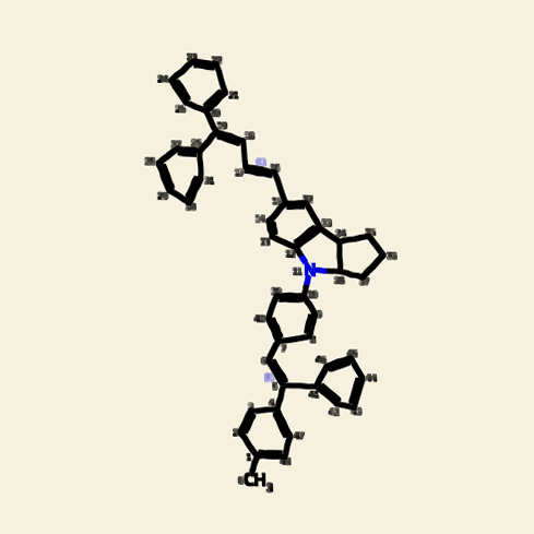 Cc1ccc(/C(=C/c2ccc(N3c4ccc(/C=C/C=C(c5ccccc5)c5ccccc5)cc4C4CCCC43)cc2)c2ccccc2)cc1